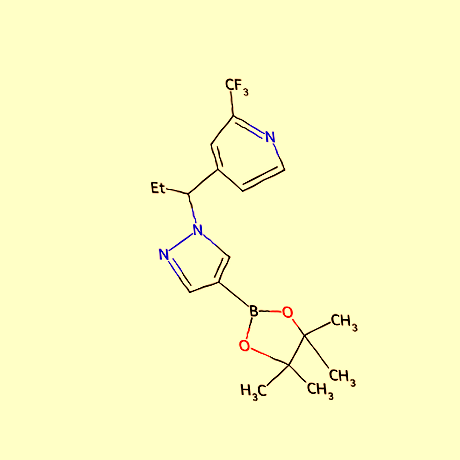 CCC(c1ccnc(C(F)(F)F)c1)n1cc(B2OC(C)(C)C(C)(C)O2)cn1